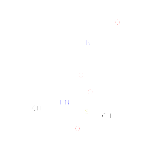 [CH2]CC(CNS(C)(=O)=O)c1ccccc1C(=O)N1CCOCC1